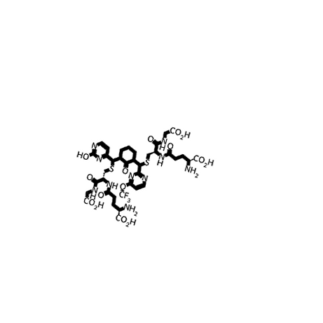 N[C@H](CCC(=O)N[C@@H](CSC(c1nccc(OC(F)(F)F)n1)C1CCCC(C(SC[C@H](NC(=O)CC[C@H](N)C(=O)O)C(=O)NCC(=O)O)c2ccnc(O)n2)C1=O)C(=O)NCC(=O)O)C(=O)O